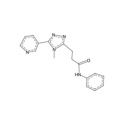 Cn1c(CCC(=O)Nc2ccccc2)nnc1-c1cccnc1